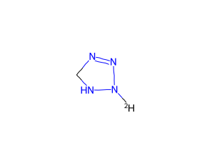 [2H]N1N=NCN1